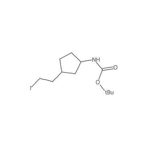 CC(C)(C)OC(=O)NC1CCC(CCI)C1